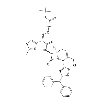 Cc1nc(/C(=N/OC(C)(C)C(=O)OC(C)(C)C)C(=O)N[C@@H]2C(=O)N3[C@@H](c4nnn(C(c5ccccc5)c5ccccc5)n4)C(CCl)=CS[C@H]23)cs1